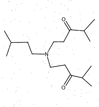 CC(C)CCN(CCC(=O)C(C)C)CCC(=O)C(C)C